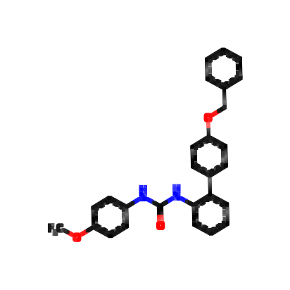 O=C(Nc1ccc(OC(F)(F)F)cc1)Nc1ccccc1-c1ccc(OCc2ccccc2)cc1